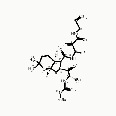 C=CCNC(=O)C(=O)C(CCC)NC(=O)[C@@H]1[C@@H]2CCC(C)(C)O[C@@H]2CN1C(=O)[C@@H](NC(=O)OC(C)(C)C)C(C)(C)C